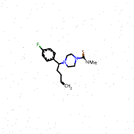 C=CCCC(c1ccc(F)cc1)N1CCN(C(=S)NC)CC1